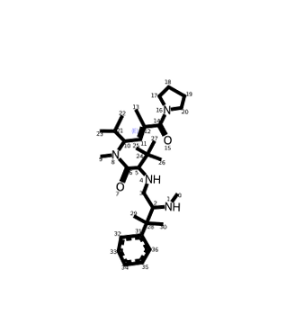 CNC(CNC(C(=O)N(C)C(/C=C(\C)C(=O)N1CCCC1)C(C)C)C(C)(C)C)C(C)(C)c1ccccc1